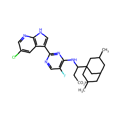 CC1CC2CC(C)CC(C(CC(=O)O)Nc3nc(-c4c[nH]c5ncc(Cl)cc45)ncc3F)(C1)C2